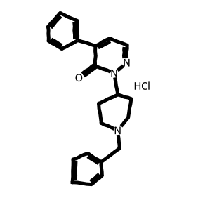 Cl.O=c1c(-c2ccccc2)ccnn1C1CCN(Cc2ccccc2)CC1